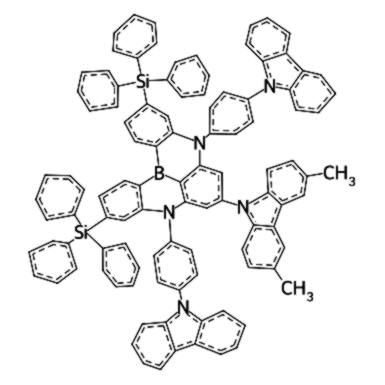 Cc1ccc2c(c1)c1cc(C)ccc1n2-c1cc2c3c(c1)N(c1ccc(-n4c5ccccc5c5ccccc54)cc1)c1cc([Si](c4ccccc4)(c4ccccc4)c4ccccc4)ccc1B3c1ccc([Si](c3ccccc3)(c3ccccc3)c3ccccc3)cc1N2c1ccc(-n2c3ccccc3c3ccccc32)cc1